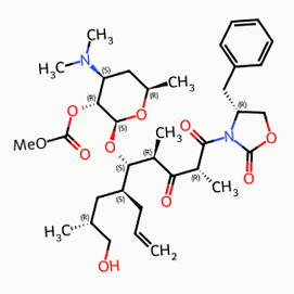 C=CC[C@@H](C[C@@H](C)CO)[C@H](O[C@@H]1O[C@H](C)C[C@H](N(C)C)[C@H]1OC(=O)OC)[C@@H](C)C(=O)[C@@H](C)C(=O)N1C(=O)OC[C@H]1Cc1ccccc1